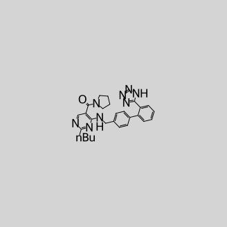 CCCCc1ncc(C(=O)N2CCCC2)c(NCc2ccc(-c3ccccc3-c3nnn[nH]3)cc2)n1